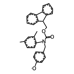 Cc1ccc(N(Cc2ccc([O])cc2)C(=O)OCC2c3ccccc3-c3ccccc32)c(C)c1